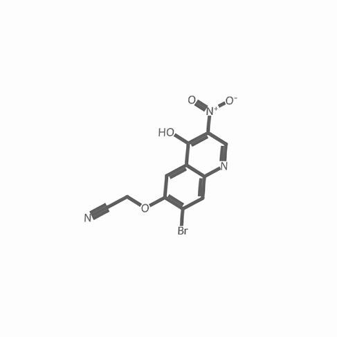 N#CCOc1cc2c(O)c([N+](=O)[O-])cnc2cc1Br